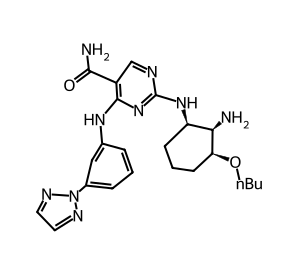 CCCCO[C@H]1CCC[C@@H](Nc2ncc(C(N)=O)c(Nc3cccc(-n4nccn4)c3)n2)[C@H]1N